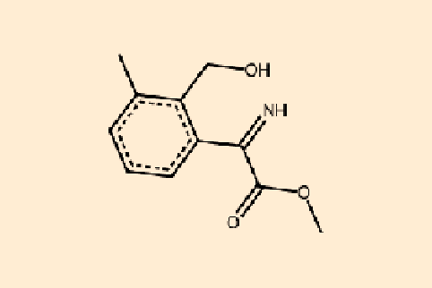 COC(=O)C(=N)c1cccc(C)c1CO